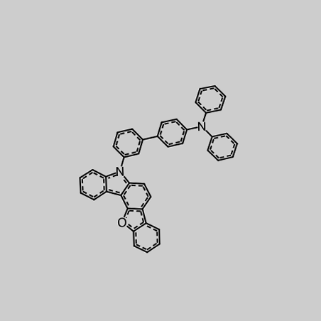 c1ccc(N(c2ccccc2)c2ccc(-c3cccc(-n4c5ccccc5c5c6oc7ccccc7c6ccc54)c3)cc2)cc1